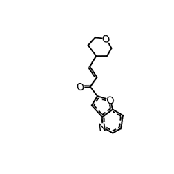 O=C(/C=C/C1CCOCC1)c1cc2ncccc2o1